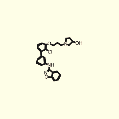 OC1CCN(CCCOc2cccc(-c3cccc(Nc4noc5ccccc45)c3)c2Cl)C1